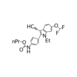 C#Cc1c(-c2ccc(NC(=O)OCCC)cc2)n(CC)c2cc(OC(F)F)ccc12